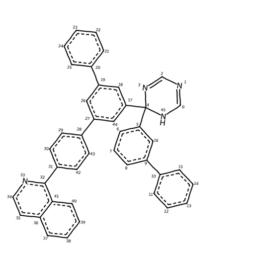 C1=NC=NC(c2cccc(-c3ccccc3)c2)(c2cc(-c3ccccc3)cc(-c3ccc(-c4nccc5ccccc45)cc3)c2)N1